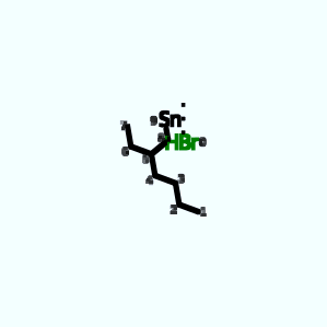 Br.CCCCC(CC)[CH2][Sn]